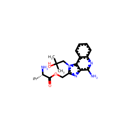 CC(C)[C@H](N)C(=O)OCc1nc2c(N)nc3ccccc3c2n1CC(C)(C)O